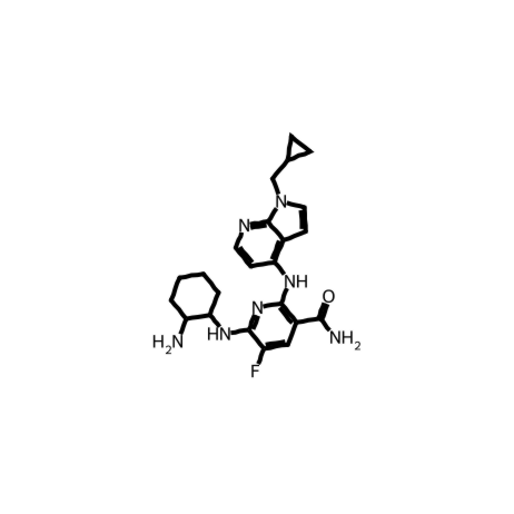 NC(=O)c1cc(F)c(NC2CCCCC2N)nc1Nc1ccnc2c1ccn2CC1CC1